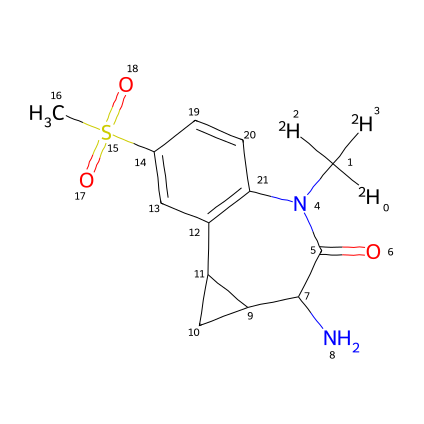 [2H]C([2H])([2H])N1C(=O)C(N)C2CC2c2cc(S(C)(=O)=O)ccc21